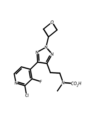 CN(CCc1nn(C2COC2)nc1-c1ccnc(Cl)c1F)C(=O)O